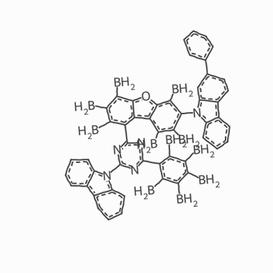 Bc1c(B)c(B)c(-c2nc(-c3c(B)c(B)c(B)c4oc5c(B)c(-n6c7ccccc7c7ccc(-c8ccccc8)cc76)c(B)c(B)c5c34)nc(-n3c4ccccc4c4ccccc43)n2)c(B)c1B